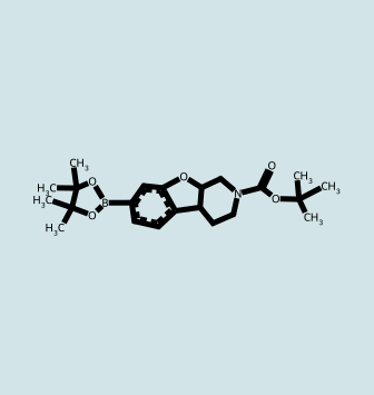 CC(C)(C)OC(=O)N1CCC2c3ccc(B4OC(C)(C)C(C)(C)O4)cc3OC2C1